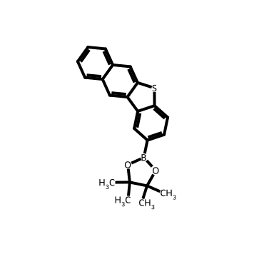 CC1(C)OB(c2ccc3sc4cc5ccccc5cc4c3c2)OC1(C)C